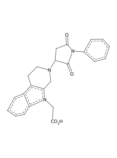 O=C(O)Cn1c2c(c3ccccc31)CCN(C1CC(=O)N(c3ccccc3)C1=O)C2